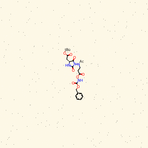 CC(=O)N(CCC(=O)ONC(=O)OCc1ccccc1)N1C(=O)N[C@@H](CC(=O)OC(C)(C)C)C1=O